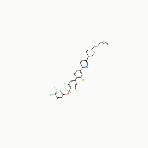 C=CCCC1CCC(c2ccc(-c3ccc(-c4cc(F)c(C(F)(F)Oc5cc(F)c(F)c(F)c5)c(F)c4)c(F)c3)nc2)CC1